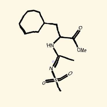 COC(=O)C(CC1CCCCC1)N/C(C)=N/S(C)(=O)=O